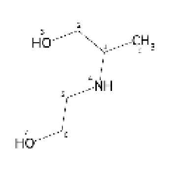 CC(CO)NCCO